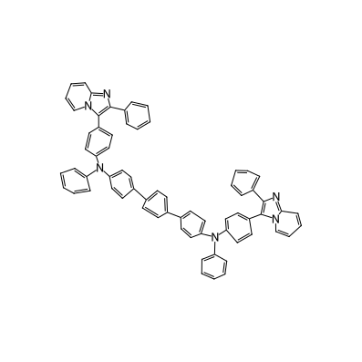 c1ccc(-c2nc3ccccn3c2-c2ccc(N(c3ccccc3)c3ccc(-c4ccc(-c5ccc(N(c6ccccc6)c6ccc(-c7c(-c8ccccc8)nc8ccccn78)cc6)cc5)cc4)cc3)cc2)cc1